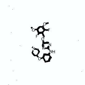 COc1cc(OC)c(F)c(COc2cnc(NC3=CC(OC4CCN(C)CC4)CC=C3)nc2)c1F